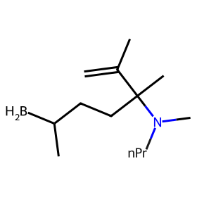 BC(C)CCC(C)(C(=C)C)N(C)CCC